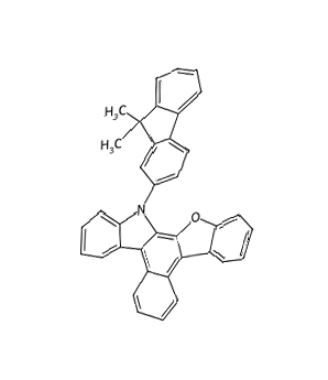 CC1(C)c2ccccc2-c2ccc(-n3c4ccccc4c4c5ccccc5c5c6ccccc6oc5c43)cc21